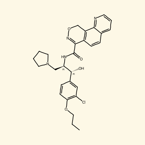 CCCOc1ccc([C@@H](O)[C@@H](CN2CCCC2)NC(=O)C2=NOCc3c2ccc2cccnc32)cc1Cl